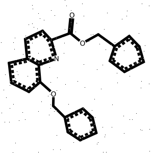 O=C(OCc1ccccc1)c1ccc2cccc(OCc3ccccc3)c2n1